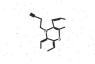 C#CCCN1C(/C=C\C)=C(C)SC(=C/C)/C1=C\C